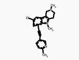 Cc1ccc(C#Cc2cc(Cl)cc3c4c(n(C)c23)CCN(C)C4)cn1